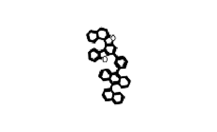 c1cc(-c2c3ccccc3c(-c3cccc4ccccc34)c3ccccc23)cc(-c2cc3oc4ccc5ccccc5c4c3c3c2oc2ccccc23)c1